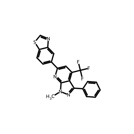 Cn1nc(-c2ccccc2)c2c(C(F)(F)F)cc(-c3ccc4scnc4c3)nc21